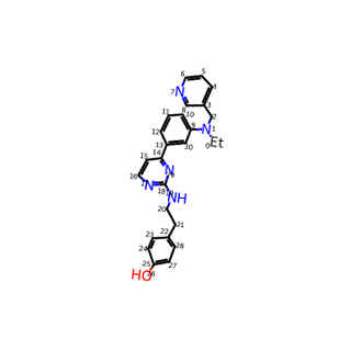 CCN(Cc1cccnc1)c1cccc(-c2ccnc(NCCc3ccc(O)cc3)n2)c1